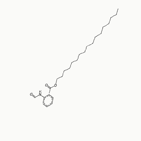 CCCCCCCCCCCCCCCCCOC(=O)c1ccccc1NC=O